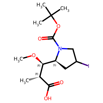 CO[C@H]([C@@H](C)C(=O)O)[C@@H]1CC(I)CN1C(=O)OC(C)(C)C